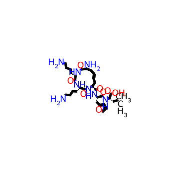 CC(C)C[C@H](NC(=O)[C@H](Cc1ccco1)NC(=O)[C@@H]1C/C=C/C[C@H](N)C(=O)N[C@@H](CCCCN)C(=O)N[C@@H](CCCCN)C(=O)N1)C(=O)O